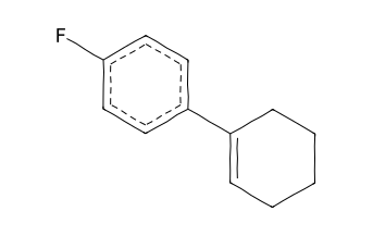 Fc1ccc(C2=CCCCC2)cc1